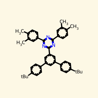 Cc1ccc(-c2nc(-c3cc(-c4ccc(C(C)(C)C)cc4)cc(-c4ccc(C(C)(C)C)cc4)c3)nc(-c3ccc(C)c(C)c3)n2)cc1C